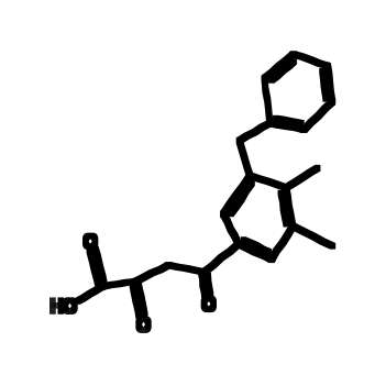 Cc1cc(C(=O)CC(=O)C(=O)O)cc(Cc2ccccc2)c1C